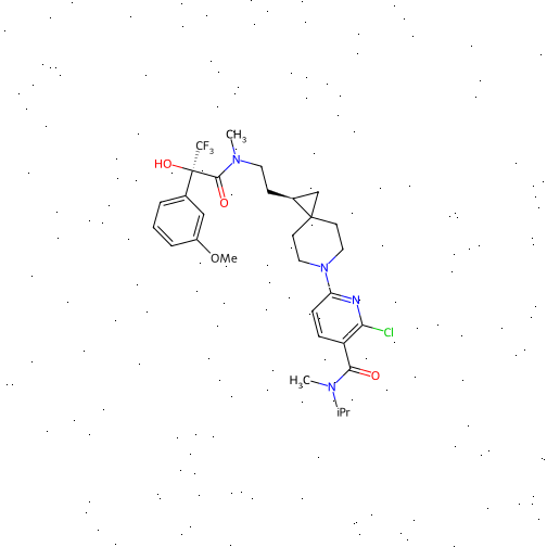 COc1cccc([C@@](O)(C(=O)N(C)CC[C@H]2CC23CCN(c2ccc(C(=O)N(C)C(C)C)c(Cl)n2)CC3)C(F)(F)F)c1